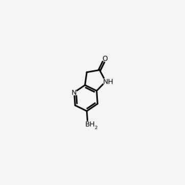 Bc1cnc2c(c1)NC(=O)C2